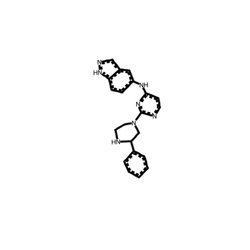 c1ccc(C2CN(c3nccc(Nc4ccc5[nH]ncc5c4)n3)CCN2)cc1